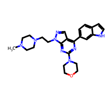 CN1CCN(CCn2ncc3c(-c4ccc5cc[nH]c5c4)nc(N4CCOCC4)nc32)CC1